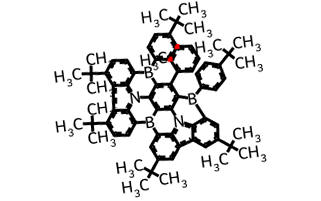 Cc1ccccc1-c1c2c3c4c5c1B(c1ccc(C(C)(C)C)cc1)c1ccc(C(C)(C)C)c6c7c(C(C)(C)C)ccc(c7n-5c16)B4c1cc(C(C)(C)C)cc4c5cc(C(C)(C)C)cc(c5n-3c14)B2c1ccc(C(C)(C)C)cc1